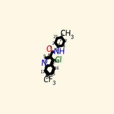 CC1CCC(NC(=O)c2cnc3cc(C(F)(F)F)ccc3c2Cl)CC1